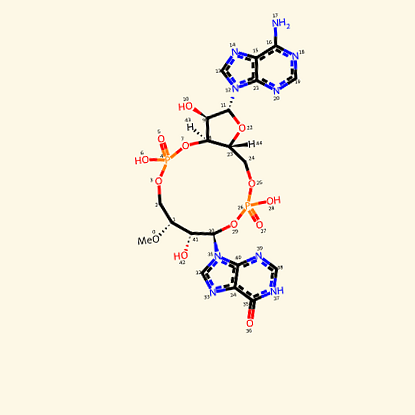 CO[C@@H]1COP(=O)(O)O[C@H]2[C@@H](O)[C@H](n3cnc4c(N)ncnc43)O[C@@H]2COP(=O)(O)O[C@@H](n2cnc3c(=O)[nH]cnc32)[C@@H]1O